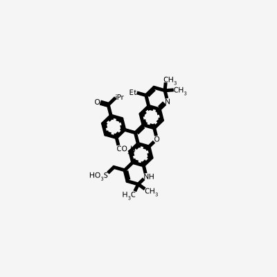 CCC1=CC(C)(C)N=c2cc3c(cc21)=C(c1cc(C(=O)C(C)C)ccc1C(=O)O)c1cc2c(cc1O3)NC(C)(C)C=C2CS(=O)(=O)O